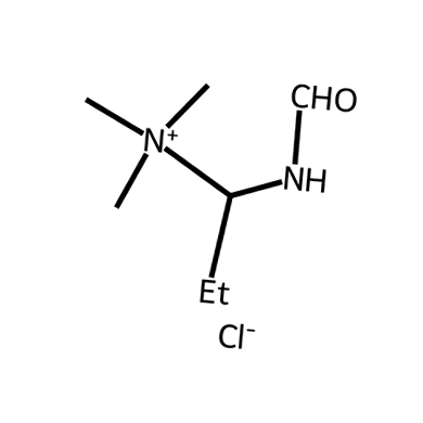 CCC(NC=O)[N+](C)(C)C.[Cl-]